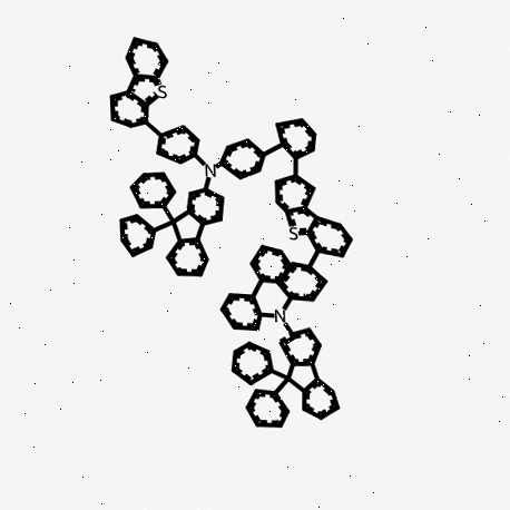 c1ccc(-c2ccccc2N(c2ccc(-c3cccc4c3sc3ccc(-c5ccccc5-c5ccc(N(c6ccc(-c7cccc8c7sc7ccccc78)cc6)c6ccc7c(c6)C(c6ccccc6)(c6ccccc6)c6ccccc6-7)cc5)cc34)cc2)c2ccc3c(c2)C(c2ccccc2)(c2ccccc2)c2ccccc2-3)cc1